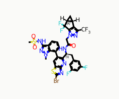 Cn1nc(NS(C)(=O)=O)c2cccc(-c3cc4sc(Br)nc4nc3[C@H](Cc3cc(F)cc(F)c3)NC(=O)Cn3nc(C(F)(F)F)c4c3C(F)(F)[C@@H]3C[C@H]43)c21